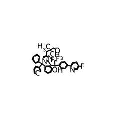 CC(C)(C=O)Cc1cn(C(c2ccccc2)(c2ccccc2)c2ccccc2)c(CC(O)(c2ccc(-c3ccc(F)cn3)cc2)C(F)F)n1